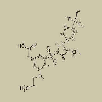 CCCOc1cc(CC(=O)O)cc(S(=O)(=O)c2cc(-c3ccc(C(F)(F)F)cc3)c(C)s2)c1